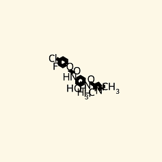 Cc1nn(C)cc1C(=O)NC12CCC(NC(=O)COc3ccc(Cl)c(F)c3)(CC1)C[C@@H]2O